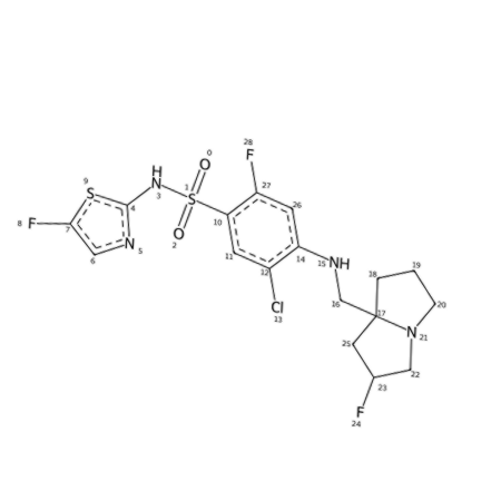 O=S(=O)(Nc1ncc(F)s1)c1cc(Cl)c(NCC23CCCN2CC(F)C3)cc1F